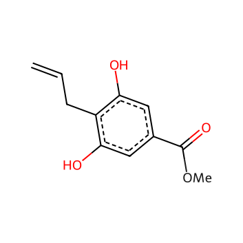 C=CCc1c(O)cc(C(=O)OC)cc1O